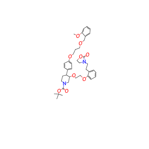 COc1ccccc1COCCCOc1ccc(C2CCN(C(=O)OC(C)(C)C)CC2OCCOc2ccccc2CCN2CCOC2=O)cc1